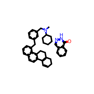 CN(Cc1cccc(Cc2cccc3ccc4c(c23)CCC2=C4C=CCC2)c1)C1CCCCC1.O=c1[nH]ncc2ccccc12